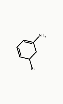 CCC1C=CC=C(N)C1